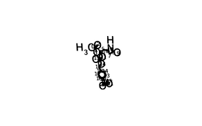 CC(=O)O[C@@H](CC1CC(=O)N1)OC(=O)OCc1ccc([N+](=O)[O-])cc1